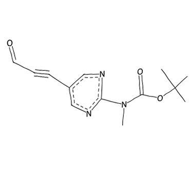 CN(C(=O)OC(C)(C)C)c1ncc(C#CC=O)cn1